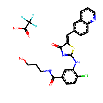 O=C(O)C(F)(F)F.O=C1N=C(Nc2cc(C(=O)NCCCO)ccc2Cl)S/C1=C\c1ccc2ncccc2c1